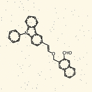 O=Cc1cc2ccccc2cc1COC=Cc1ccc2c(c1)c1ccccc1n2-c1ccccc1